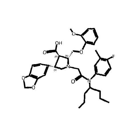 CCCC(CCC)N(C(=O)CN1C[C@H](c2ccc3c(c2)OCO3)[C@@H](C(=O)O)[C@@H]1COc1ccccc1OC)c1ccc(F)c(C)c1